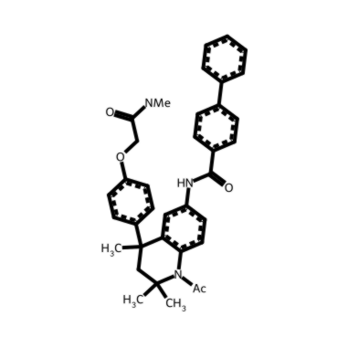 CNC(=O)COc1ccc(C2(C)CC(C)(C)N(C(C)=O)c3ccc(NC(=O)c4ccc(-c5ccccc5)cc4)cc32)cc1